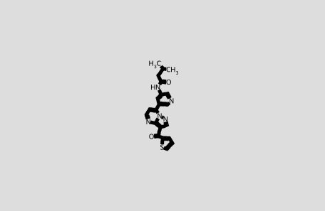 CC(C)CC(=O)Nc1cncc(-c2ccnc3c(C(=O)c4cccs4)cnn23)c1